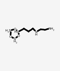 NCCNCCC[SiH]1O[SiH2]O[SiH2]O1